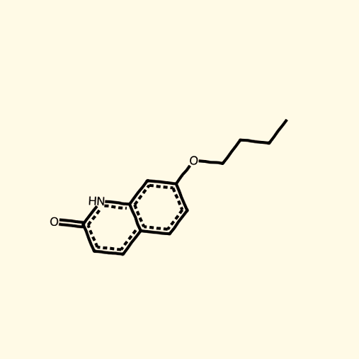 CCCCOc1ccc2ccc(=O)[nH]c2c1